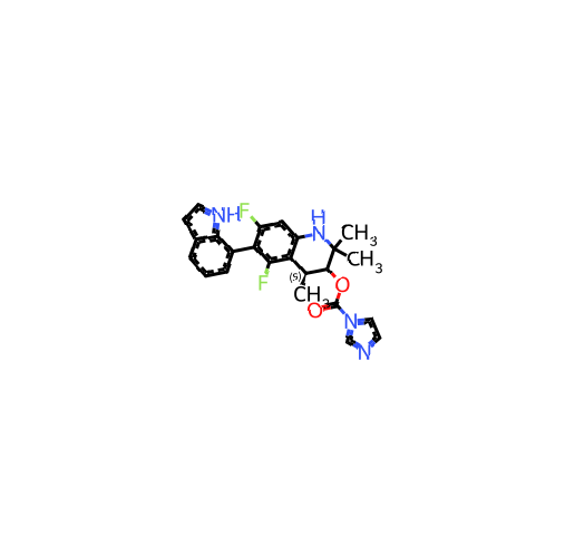 C[C@H]1c2c(cc(F)c(-c3cccc4cc[nH]c34)c2F)NC(C)(C)C1OC(=O)n1ccnc1